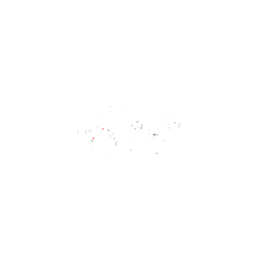 COC(=O)C1=C(C(N)=O)C2C=CC1(C(Cc1ccccc1)Nc1cccc(CO)c1)O2